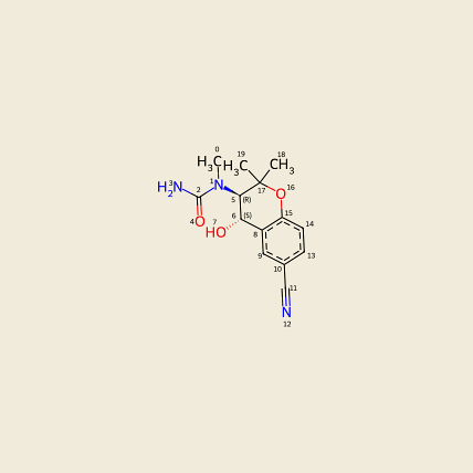 CN(C(N)=O)[C@@H]1[C@@H](O)c2cc(C#N)ccc2OC1(C)C